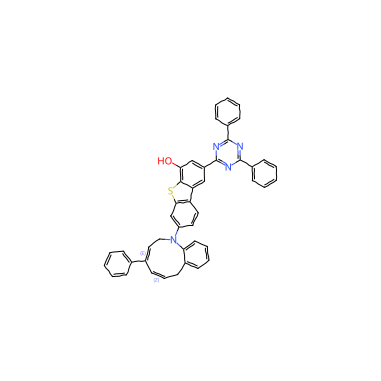 Oc1cc(-c2nc(-c3ccccc3)nc(-c3ccccc3)n2)cc2c1sc1cc(N3C/C=C(c4ccccc4)\C=C/Cc4ccccc43)ccc12